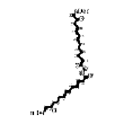 CCCCCCCCCCCC(=O)CCCCCCCCCCC(=O)OOC(=O)CCCCCCCCCCC(=O)CCCCCCCCCCC